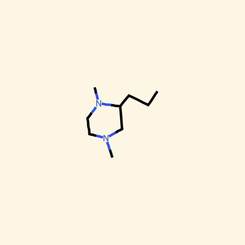 CCCC1CN(C)CCN1C